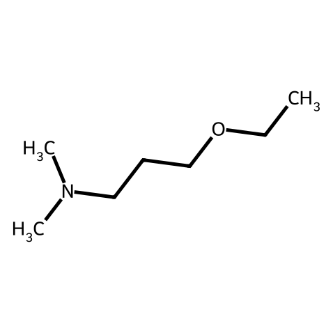 CCOCCCN(C)C